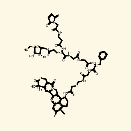 CC[C@@]1(O)C(=O)OCc2c1cc1n(c2=O)Cc2c-1nc1cc(F)c(C)c3c1c2[C@@H](NC(=O)COCNC(=O)CNC(=O)[C@H](Cc1ccccc1)NC(=O)CNC(=O)CNC(=O)[C@H](CCC(=O)NC1O[C@H](CO)[C@@H](O)[C@H]1O)NC(=O)CCNC(=O)CN1C(=O)C=CC1=O)CC3